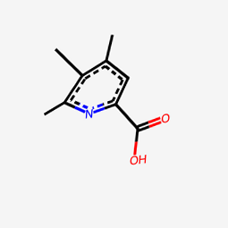 Cc1cc(C(=O)O)nc(C)c1C